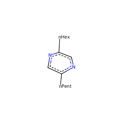 [CH2]CCCCc1cnc(CCCCCC)cn1